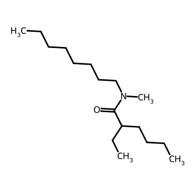 CCCCCCCCN(C)C(=O)C(CC)CCCC